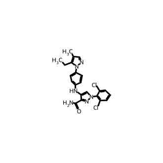 CCc1c(C)cnn1-c1ccc(Nc2cn(-c3c(Cl)cccc3Cl)nc2C(N)=O)cc1